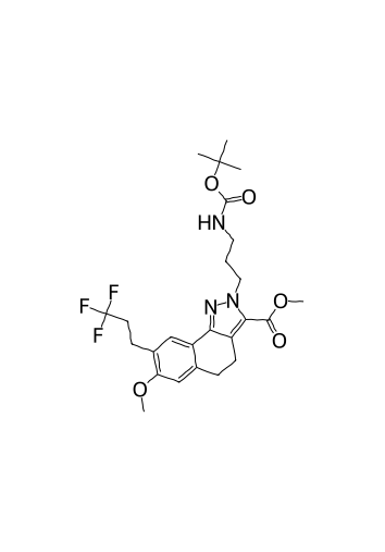 COC(=O)c1c2c(nn1CCCNC(=O)OC(C)(C)C)-c1cc(CCC(F)(F)F)c(OC)cc1CC2